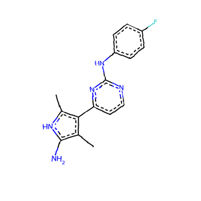 Cc1[nH]c(N)c(C)c1-c1ccnc(Nc2ccc(F)cc2)n1